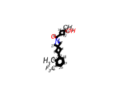 Cc1c(C2CC3(C2)CN(C(=O)C2CC(C)(O)C2)C3)cccc1C(F)(F)F